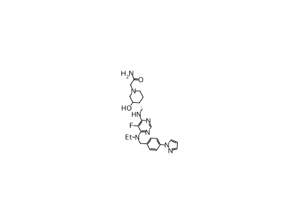 CCN(Cc1ccc(-n2cccn2)cc1)c1ncnc(NC[C@H]2CCN(CC(N)=O)C[C@@H]2O)c1F